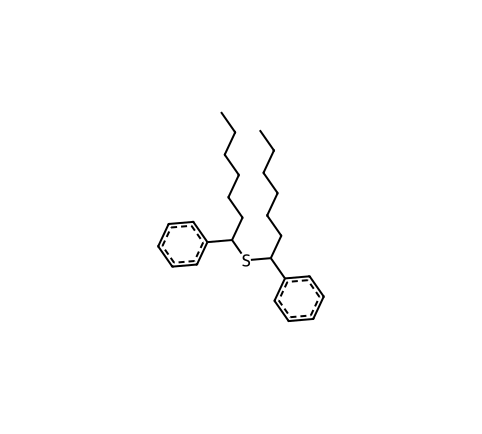 CCCCCCC(SC(CCCCCC)c1ccccc1)c1ccccc1